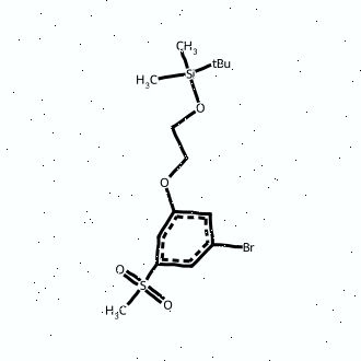 CC(C)(C)[Si](C)(C)OCCOc1cc(Br)cc(S(C)(=O)=O)c1